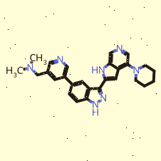 CN(C)Cc1cncc(-c2ccc3[nH]nc(-c4cc5c(N6CCCCC6)cncc5[nH]4)c3c2)c1